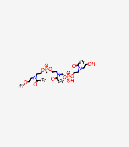 CC(C)OCCN(CCOP(C)(=O)OCCN(COP(=O)(O)OCCN(CCO)C(=O)C(C)C)C(=O)C(C)C)C(=O)C(C)C